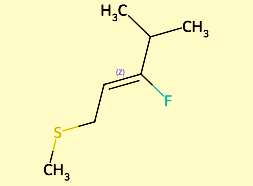 CSC/C=C(\F)C(C)C